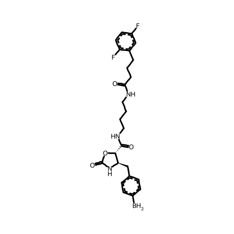 Bc1ccc(C[C@H]2NC(=O)O[C@@H]2C(=O)NCCCCNC(=O)CCCc2cc(F)ccc2F)cc1